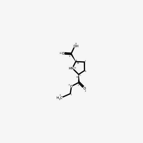 CCOC(=O)[C@@H]1CC[C@H](C(=O)O)N1